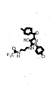 Cc1ccc(C(=O)c2nn(-c3ccc(Cl)cc3)c(NCCCNC(=O)C(F)(F)F)c2C#N)cc1